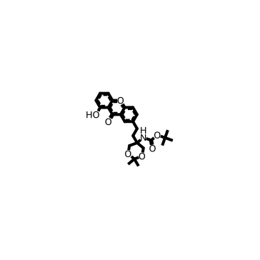 CC(C)(C)OC(=O)NC1(CCc2ccc3oc4cccc(O)c4c(=O)c3c2)COC(C)(C)OC1